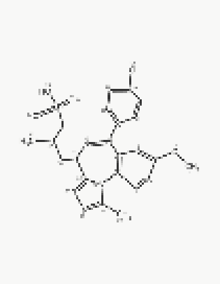 COc1ccc2c(c1)C(c1ccc(Cl)cc1)=NC(C[C@@H](C)CS(=O)(=O)O)c1nnc(C)n1-2